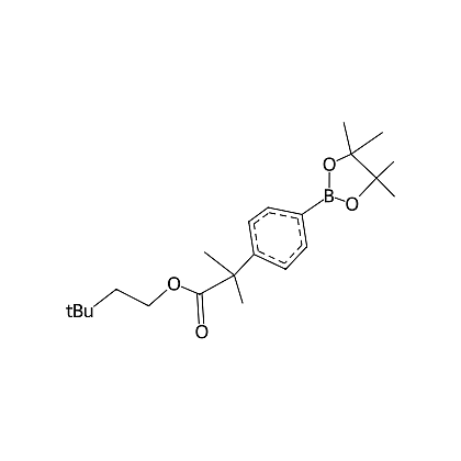 CC(C)(C)CCOC(=O)C(C)(C)c1ccc(B2OC(C)(C)C(C)(C)O2)cc1